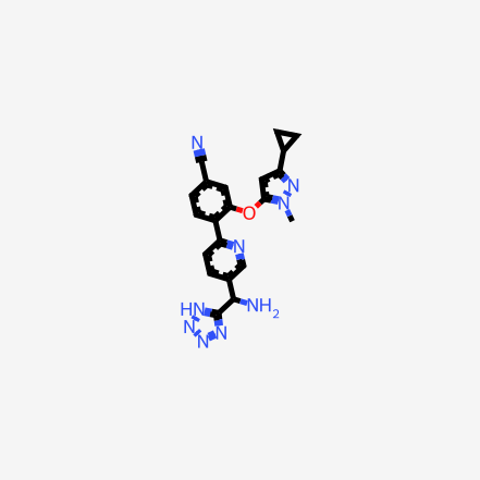 Cn1nc(C2CC2)cc1Oc1cc(C#N)ccc1-c1ccc(C(N)c2nnn[nH]2)cn1